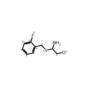 NC(CCl)SCc1ccccc1F